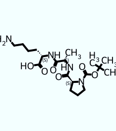 C[C@H](NC(=O)[C@@H]1CCCN1C(=O)OC(C)(C)C)C(=O)N[C@@H](CCCCN)C(=O)O